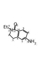 CCN1CCc2cc(N)ccc2C1=O